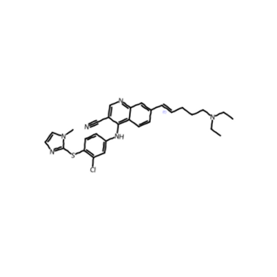 CCN(CC)CCC/C=C/c1ccc2c(Nc3ccc(Sc4nccn4C)c(Cl)c3)c(C#N)cnc2c1